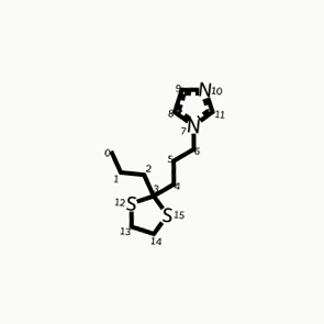 CCCC1(CCCn2ccnc2)SCCS1